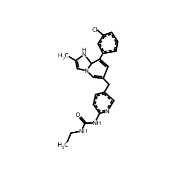 CCNC(=O)Nc1ccc(CC2=CN3C=C(C)NC3C(c3cccc(Cl)c3)=C2)cn1